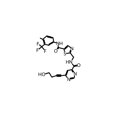 Cc1ccc(NC(=O)c2cnc(CNC(=O)c3cc(C#CCCO)ncn3)s2)cc1C(F)(F)F